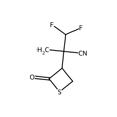 [CH2]C(C#N)(C(F)F)C1CSC1=O